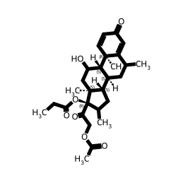 CCC(=O)O[C@]1(C(=O)COC(C)=O)C(C)C[C@H]2[C@@H]3CC(C)C4=CC(=O)C=C[C@]4(C)[C@H]3C(O)C[C@@]21C